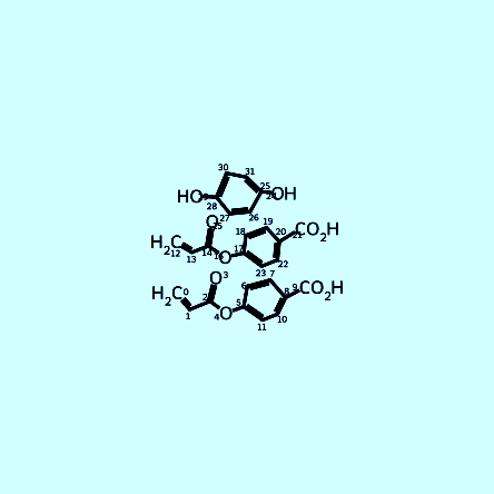 C=CC(=O)Oc1ccc(C(=O)O)cc1.C=CC(=O)Oc1ccc(C(=O)O)cc1.Oc1ccc(O)cc1